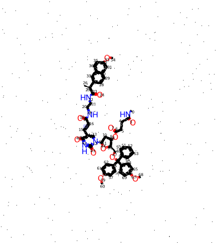 CNC(=O)CCC(=O)O[C@@H]1C[C@H](n2cc(/C=C/C(=O)NCCNC(=O)[C@@H](C)c3ccc4cc(OC)ccc4c3)c(=O)[nH]c2=O)O[C@@H]1COC(c1ccccc1)(c1ccc(OC)cc1)c1ccc(OC)cc1